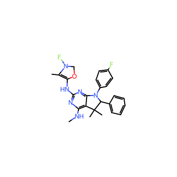 CNc1nc(NC2=C(C)N(F)CO2)nc2c1C(C)(C)C(c1ccccc1)N2c1ccc(F)cc1